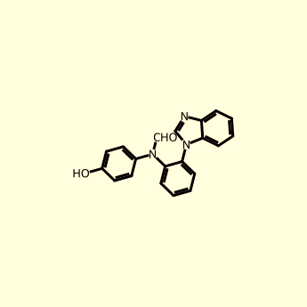 O=CN(c1ccc(O)cc1)c1ccccc1-n1cnc2ccccc21